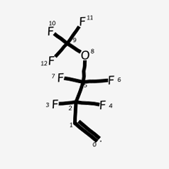 [CH]=CC(F)(F)C(F)(F)OC(F)(F)F